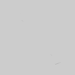 O=C1CCCN1CCCCCCN1CCCC1=O